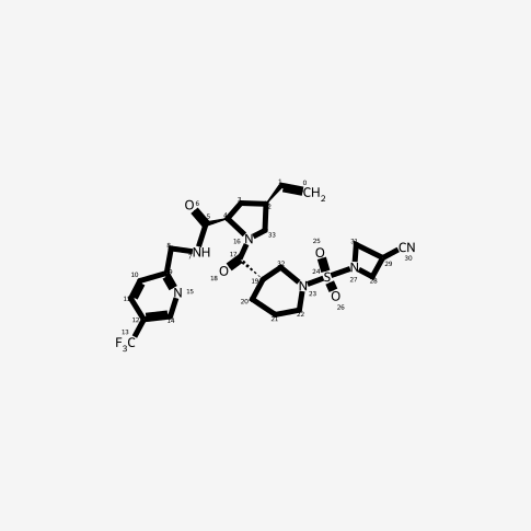 C=C[C@@H]1C[C@H](C(=O)NCc2ccc(C(F)(F)F)cn2)N(C(=O)[C@H]2CCCN(S(=O)(=O)N3CC(C#N)C3)C2)C1